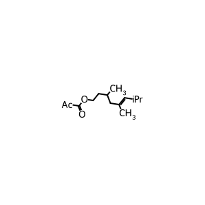 CC(=O)C(=O)OCCC(C)CC(C)=CC(C)C